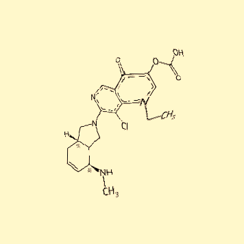 CCn1cc(OC(=O)O)c(=O)c2cnc(N3CC4[C@H](CC=C[C@@H]4NC)C3)c(Cl)c21